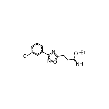 CCOC(=N)CCc1nc(-c2cccc(Cl)c2)no1